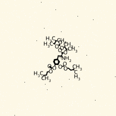 CC(C)CCOC(=O)Oc1ccc(C[C@H](N)C(=O)O[C@@H](C)C(C)OC(=O)OC(C)C(C)C)cc1OC(=O)OCCC(C)C